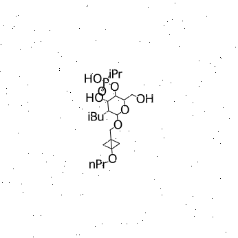 CCCOC12CC1(COC1OC(CO)C(OP(=O)(O)C(C)C)C(O)C1C(C)CC)C2